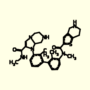 CNC(=O)C1=CN2CCNCC2N1c1cccc(-c2cccc(N(C)C(=O)c3cc4c(s3)CCNC4)c2C)c1C